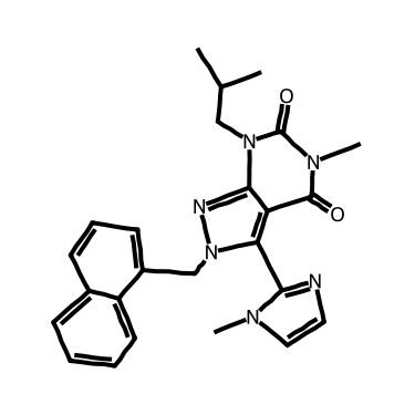 CC(C)Cn1c(=O)n(C)c(=O)c2c(-c3nccn3C)n(Cc3cccc4ccccc34)nc21